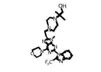 Cn1c(CN2CCN(C(C)(C)CO)CC2)nc2c(N3CCOCC3)nc(-n3c(C(F)(F)F)nc4ccccc43)nc21